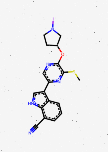 CSc1nc(-c2c[nH]c3c(C#N)cccc23)cnc1OC1CCN(I)C1